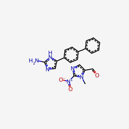 Cn1c(C=O)cnc1[N+](=O)[O-].Nc1ncc(-c2ccc(-c3ccccc3)cc2)[nH]1